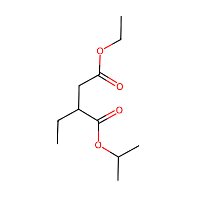 CCOC(=O)CC(CC)C(=O)OC(C)C